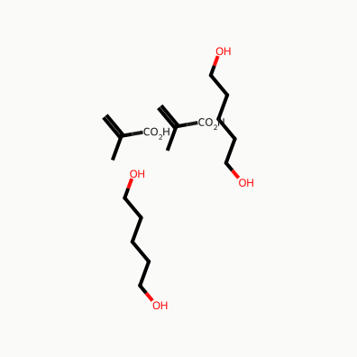 C=C(C)C(=O)O.C=C(C)C(=O)O.OCCCCCO.OCCCCCO